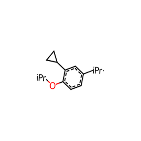 C[C](C)c1ccc(OC(C)C)c(C2CC2)c1